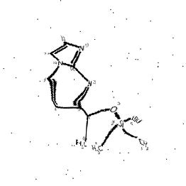 CC(O[Si](C)(C)C(C)(C)C)c1ccn2ccnc2n1